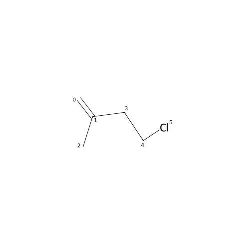 C=C(C)CCCl